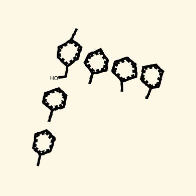 Cc1ccc(CO)cc1.Cc1ccccc1.Cc1ccccc1.Cc1ccccc1.Cc1ccccc1.Cc1ccccc1